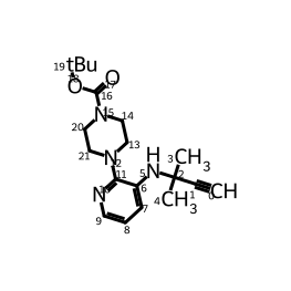 C#CC(C)(C)Nc1cccnc1N1CCN(C(=O)OC(C)(C)C)CC1